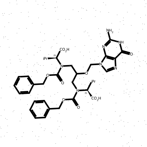 CC(C)[C@@H](C(=O)O)N(CC(CN(C(=O)OCc1ccccc1)[C@H](C(=O)O)C(C)C)OCn1cnc2c(=O)[nH]c(N)nc21)C(=O)OCc1ccccc1